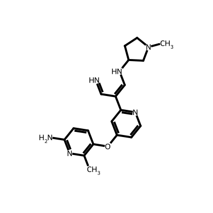 Cc1nc(N)ccc1Oc1ccnc(/C(C=N)=C/NC2CCN(C)C2)c1